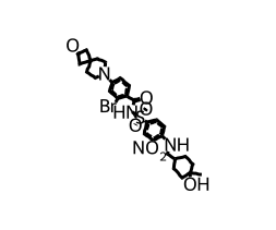 CC1(O)CCC(CNc2ccc(S(=O)(=O)NC(=O)c3ccc(N4CCC5(CC4)CC(=O)C5)cc3Br)cc2[N+](=O)[O-])CC1